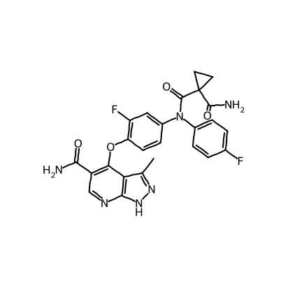 Cc1n[nH]c2ncc(C(N)=O)c(Oc3ccc(N(C(=O)C4(C(N)=O)CC4)c4ccc(F)cc4)cc3F)c12